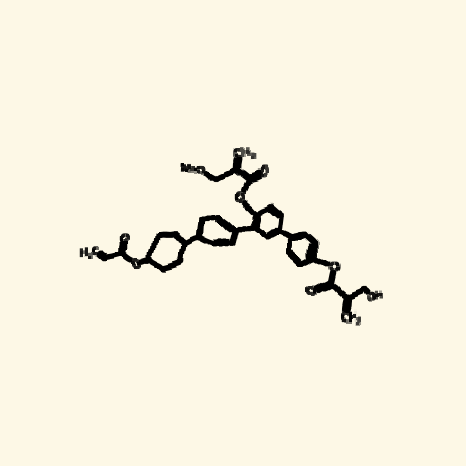 C=CC(=O)OC1CCC(c2ccc(-c3cc(-c4ccc(OC(=O)C(=C)CO)cc4)ccc3OC(=O)C(=C)COC)cc2)CC1